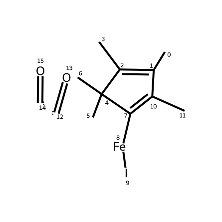 CC1=C(C)C(C)(C)[C]([Fe][I])=C1C.[C]=O.[C]=O